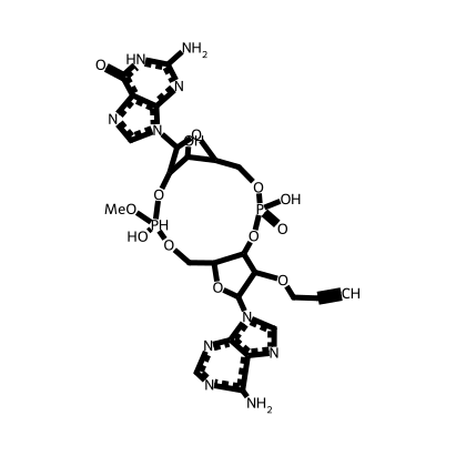 C#CCOC1C2OP(=O)(O)OCC3OC(n4cnc5c(=O)[nH]c(N)nc54)C(O[PH](O)(OC)OCC2OC1n1cnc2c(N)ncnc21)C3O